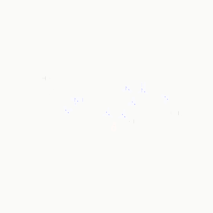 Cc1ccc(Nc2ncc3c(n2)N(C)C(=O)N(c2cc(-c4nc5cc(C)c(C)cc5[nH]4)ccc2C)C3)cn1